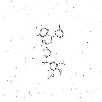 COc1cc(C(=O)N2CCN(C(=O)C=C(c3cccc(C)c3)c3cccc(C)c3)CC2)cc(OC)c1OC